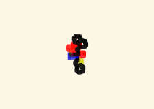 O=C(Nc1cc2ccccc2s1)C(c1cccc2ccccc12)P(=O)(O)O